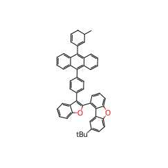 CC1C=C(c2c3ccccc3c(-c3ccc(-c4c(-c5cccc6oc7ccc(C(C)(C)C)cc7c56)oc5ccccc45)cc3)c3ccccc23)C=CC1